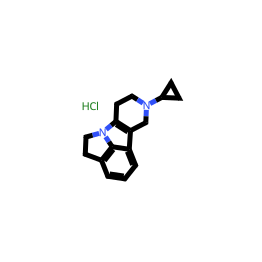 Cl.c1cc2c3c(c1)c1c(n3CC2)CCN(C2CC2)C1